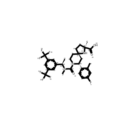 Cc1cc(F)ccc1[C@H]1C[C@@]2(CCN1C(=O)N(C)[C@H](C)c1cc(C(F)(F)F)cc(C(F)(F)F)c1)CC[C@@](C)(C(=O)O)N2